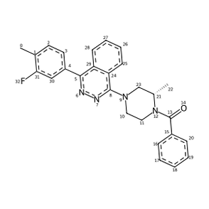 Cc1ccc(-c2nnc(N3CCN(C(=O)c4ccccc4)[C@@H](C)C3)c3ccccc23)cc1F